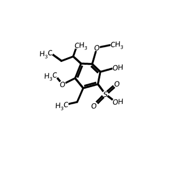 CCc1c(OC)c(C(C)CC)c(OC)c(O)c1S(=O)(=O)O